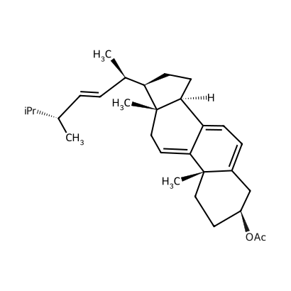 CC(=O)O[C@H]1CC[C@@]2(C)C(=CC=C3C2=CC[C@]2(C)[C@@H]([C@H](C)/C=C/[C@H](C)C(C)C)CC[C@@H]32)C1